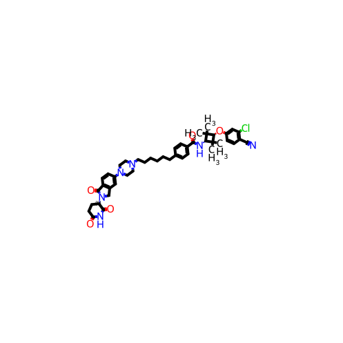 CC1(C)[C@H](NC(=O)c2ccc(CCCCCCN3CCN(c4ccc5c(c4)CN([C@H]4CCC(=O)NC4=O)C5=O)CC3)cc2)C(C)(C)[C@H]1Oc1ccc(C#N)c(Cl)c1